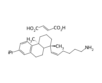 CC(C)c1ccc2c(c1)CCC1[C@@](C)(/C=C\CCCCN)CCC[C@]21C.O=C(O)/C=C/C(=O)O